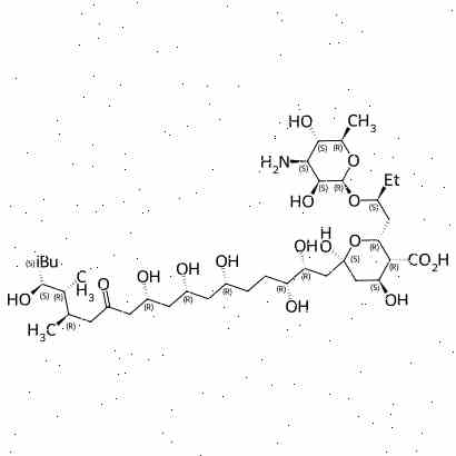 CC[C@@H](C[C@H]1O[C@](O)(C[C@@H](O)[C@H](O)CC[C@@H](O)C[C@@H](O)C[C@@H](O)CC(=O)C[C@@H](C)[C@@H](C)[C@@H](O)[C@@H](C)CC)C[C@H](O)[C@H]1C(=O)O)O[C@@H]1O[C@H](C)[C@@H](O)[C@H](N)[C@@H]1O